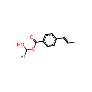 CC=Cc1ccc(C(=O)OC(O)CC)cc1